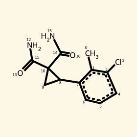 Cc1c(Cl)cccc1C1CC1(C(N)=O)C(N)=O